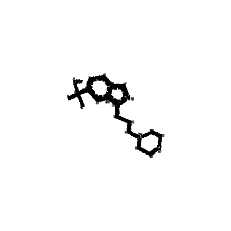 CSC(C)(C)c1ccc2cnn(CCCN3CCOCC3)c2c1